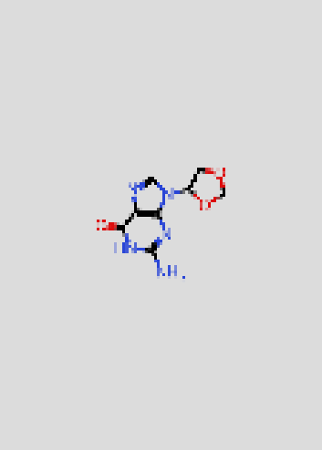 Nc1nc2c(ncn2C2COCO2)c(=O)[nH]1